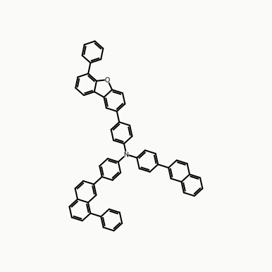 c1ccc(-c2cccc3ccc(-c4ccc(N(c5ccc(-c6ccc7ccccc7c6)cc5)c5ccc(-c6ccc7oc8c(-c9ccccc9)cccc8c7c6)cc5)cc4)cc23)cc1